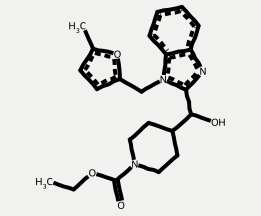 CCOC(=O)N1CCC(C(O)c2nc3ccccc3n2Cc2ccc(C)o2)CC1